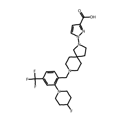 O=C(O)c1ccn(N2CCC3(CCN(Cc4ccc(C(F)(F)F)cc4N4CCC(F)CC4)CC3)C2)n1